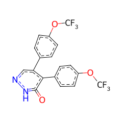 O=c1[nH]ncc(-c2ccc(OC(F)(F)F)cc2)c1-c1ccc(OC(F)(F)F)cc1